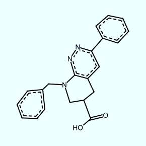 O=C(O)C1Cc2cc(-c3ccccc3)nnc2N(Cc2ccccc2)C1